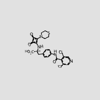 O=C(Nc1ccc(C[C@H](Nc2c(N3CCSCC3)c(=O)c2=O)C(=O)O)cc1)c1c(Cl)cncc1Cl